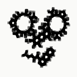 CN(C)CCNC(=O)c1cccc2cc3ccccc3nc12.Cc1c2oc3c(C)ccc(C(=O)NC4C(=O)NC(C(C)C)C(=O)N5CCCC5C(=O)N(C)CC(=O)N(C)C(C(C)C)C(=O)OC4C)c3nc-2c(C(=O)NC2C(=O)NC(C(C)C)C(=O)N3CCCC3C(=O)N(C)CC(=O)N(C)C(C(C)C)C(=O)OC2C)c(N)c1=O